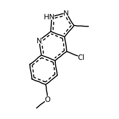 COc1ccc2nc3[nH]nc(C)c3c(Cl)c2c1